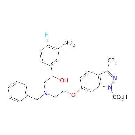 O=C(O)n1nc(C(F)(F)F)c2ccc(OCCN(Cc3ccccc3)CC(O)c3ccc(F)c([N+](=O)[O-])c3)cc21